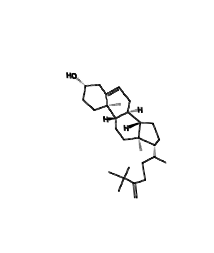 C=C(CCC(C)[C@H]1CC[C@H]2[C@@H]3CC=C4C[C@@H](O)CC[C@]4(C)[C@H]3CC[C@]12C)C(C)(C)C